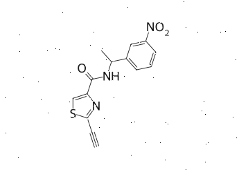 C#Cc1nc(C(=O)NC(C)c2cccc([N+](=O)[O-])c2)cs1